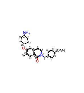 COc1ccc(Cn2ccc3cc(O[C@H]4CC[C@H](N)CC4)c(C)cc3c2=O)cc1